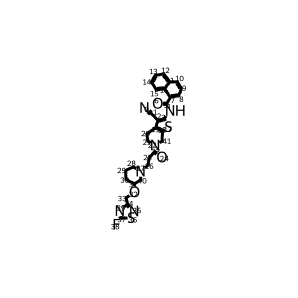 N#Cc1c(NC(=O)c2cccc3ccccc23)sc2c1CCN(C(=O)CCN1CCCC(OCc3nsc(F)n3)C1)C2